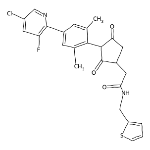 Cc1cc(-c2ncc(Cl)cc2F)cc(C)c1C1C(=O)CC(CC(=O)NCc2cccs2)C1=O